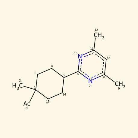 CC(=O)C1(C)CCC(c2nc(C)cc(C)n2)CC1